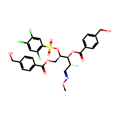 CON=C[C@@H](F)[C@H](OC(=O)c1ccc(CO)cc1)[C@@H](COC(=O)c1ccc(CO)cc1)OS(=O)(=O)c1cc(Cl)c(Cl)cc1Cl